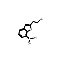 NCCc1cc2cccc(B(O)O)c2s1